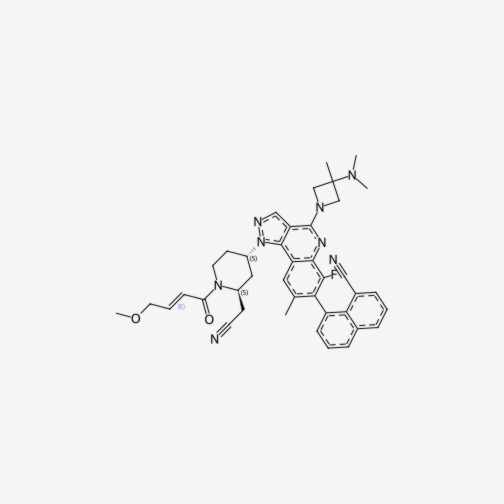 COC/C=C/C(=O)N1CC[C@H](n2ncc3c(N4CC(C)(N(C)C)C4)nc4c(F)c(-c5cccc6cccc(C#N)c56)c(C)cc4c32)C[C@H]1CC#N